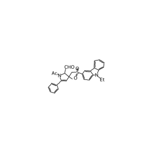 CCn1c2ccccc2c2cc(S(=O)(=O)CC3(C)C=C(c4ccccc4)N(C(C)=O)C3C=O)ccc21